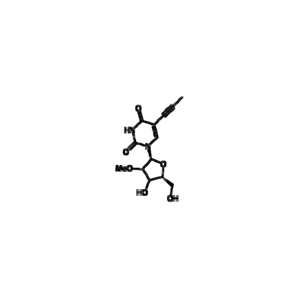 CC#Cc1cn([C@H]2O[C@@H](CO)C(O)C2OC)c(=O)[nH]c1=O